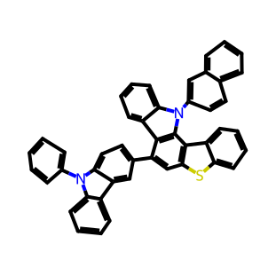 c1ccc(-n2c3ccccc3c3cc(-c4cc5sc6ccccc6c5c5c4c4ccccc4n5-c4ccc5ccccc5c4)ccc32)cc1